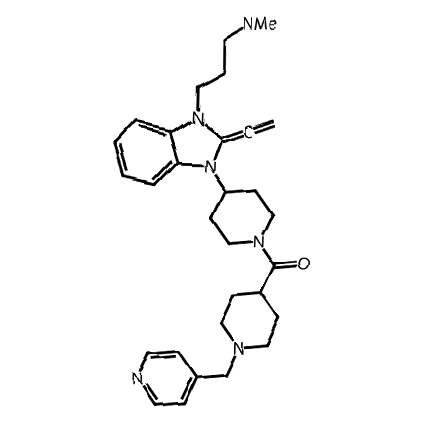 C=C=C1N(CCCNC)c2ccccc2N1C1CCN(C(=O)C2CCN(Cc3ccncc3)CC2)CC1